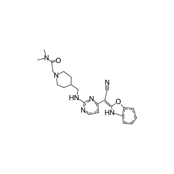 CN(C)C(=O)CN1CCC(CNc2nccc(/C(C#N)=C3\Nc4ccccc4O3)n2)CC1